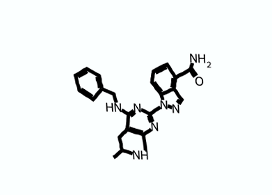 CC1Cc2c(nc(-n3ncc4c(C(N)=O)cccc43)nc2NCc2ccccc2)CN1